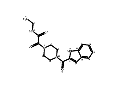 O=C(NCC(F)(F)F)C(=O)N1CCN(C(=O)c2cc3ccccc3[nH]2)CC1